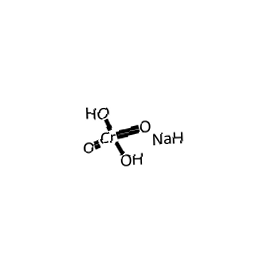 [NaH].[O]=[Cr](=[O])([OH])[OH]